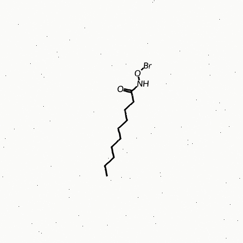 CCCCCCCCCC(=O)NOBr